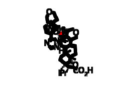 CNC1(CO[C@H]2[C@H](n3ncnc3-c3ccncc3)C[C@@]34COC[C@]2(C)[C@@H]3CC[C@H]2C4=CC[C@]3(C)[C@H](OC(=O)O)[C@@](C)([C@H](C)C(C)C)CC[C@]23C)CCOCC1